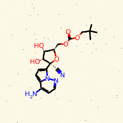 CC(C)(C)COC(=O)OC[C@H]1O[C@@](C#N)(c2ccc3c(N)ccnn23)[C@H](O)[C@@H]1O